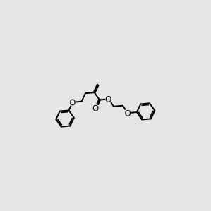 C=C(CCOc1ccccc1)C(=O)OCCOc1ccccc1